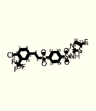 O=S(=O)(CCc1ccc(Cl)c(C(F)(F)F)c1)c1ccc(S(=O)(=O)Nc2ncc(F)s2)cc1